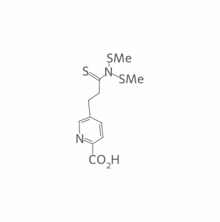 CSN(SC)C(=S)CCc1ccc(C(=O)O)nc1